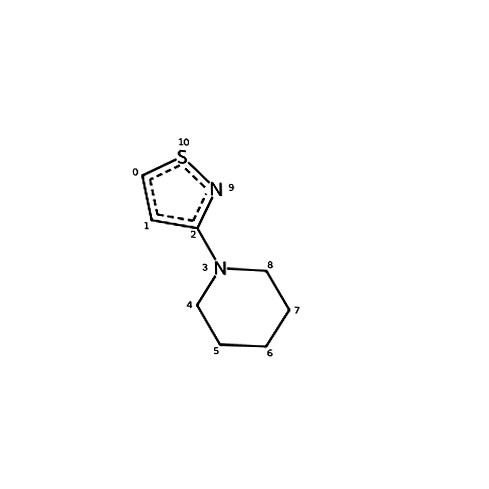 c1cc(N2CCCCC2)ns1